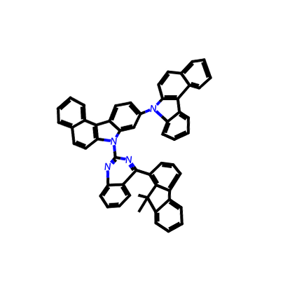 CC1(C)c2ccccc2-c2cccc(-c3nc(-n4c5cc(-n6c7ccccc7c7c8ccccc8ccc76)ccc5c5c6ccccc6ccc54)nc4ccccc34)c21